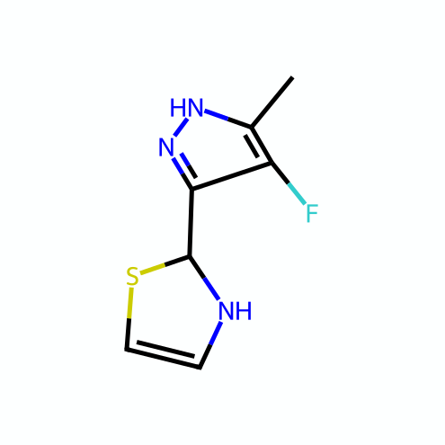 Cc1[nH]nc(C2NC=CS2)c1F